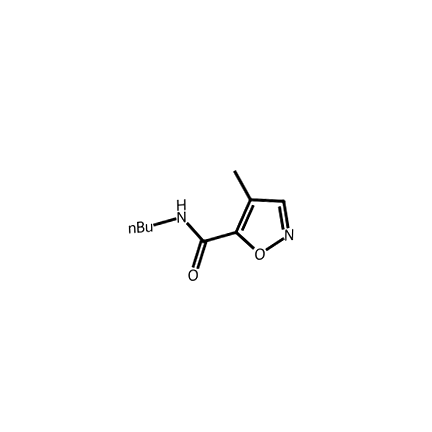 CCCCNC(=O)c1oncc1C